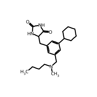 CCCCN(C)Cc1cc(CC2NC(=O)NC2=O)cc(C2CCCCC2)c1